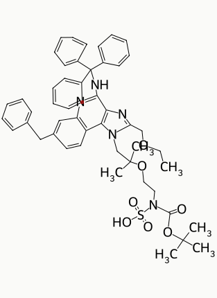 CCOCc1nc2c(NC(c3ccccc3)(c3ccccc3)c3ccccc3)nc3cc(Cc4ccccc4)ccc3c2n1CC(C)(C)OCCN(C(=O)OC(C)(C)C)S(=O)(=O)O